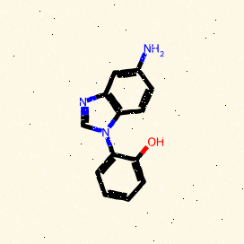 Nc1ccc2c(c1)ncn2-c1ccccc1O